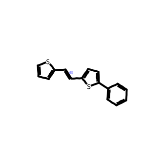 C(=C\c1ccc(-c2ccccc2)s1)/c1cccs1